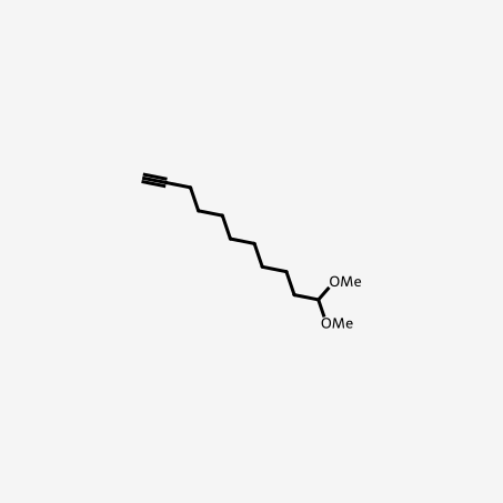 C#CCCCCCCCCC(OC)OC